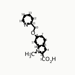 Cn1c(C(=O)O)cc2ccc(OCc3ccccn3)cc21